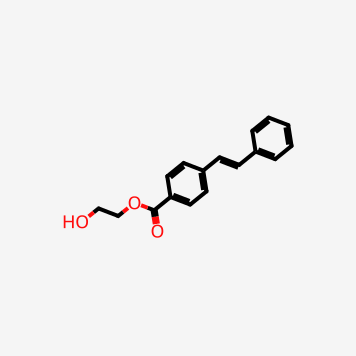 O=C(OCCO)c1ccc(C=Cc2ccccc2)cc1